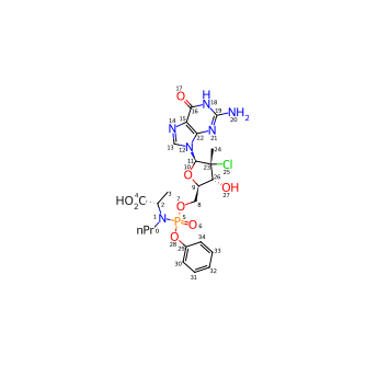 CCCN([C@@H](C)C(=O)O)[P@](=O)(OC[C@H]1O[C@@H](n2cnc3c(=O)[nH]c(N)nc32)[C@](C)(Cl)[C@@H]1O)Oc1ccccc1